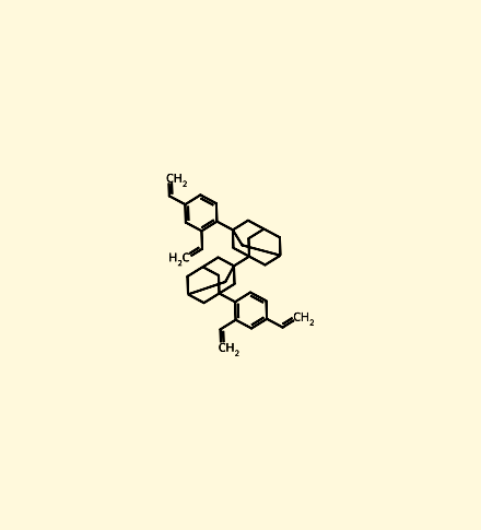 C=Cc1ccc(C23CC4CC(C2)CC(C25CC6CC(CC(c7ccc(C=C)cc7C=C)(C6)C2)C5)(C4)C3)c(C=C)c1